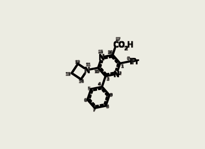 CC(C)c1nc(-c2ccccc2)c(N2CCC2)nc1C(=O)O